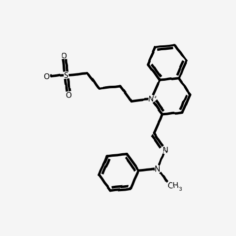 CN(/N=C/c1ccc2ccccc2[n+]1CCCCS(=O)(=O)[O-])c1ccccc1